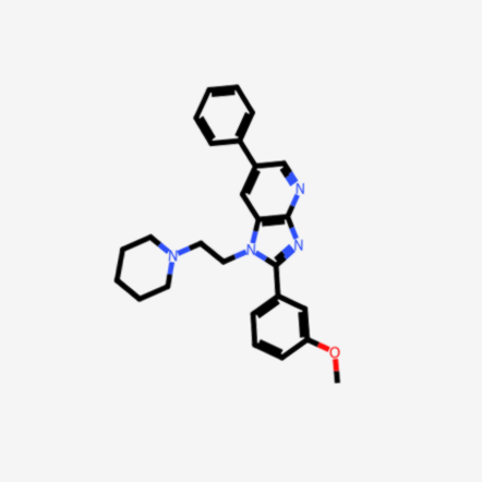 COc1cccc(-c2nc3ncc(-c4ccccc4)cc3n2CCN2CCCCC2)c1